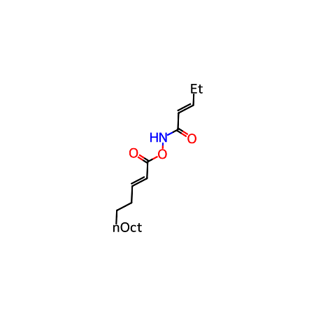 CCC=CC(=O)NOC(=O)C=CCCCCCCCCCC